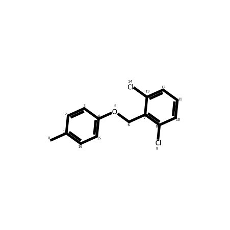 Cc1ccc(OCc2c(Cl)cccc2Cl)cc1